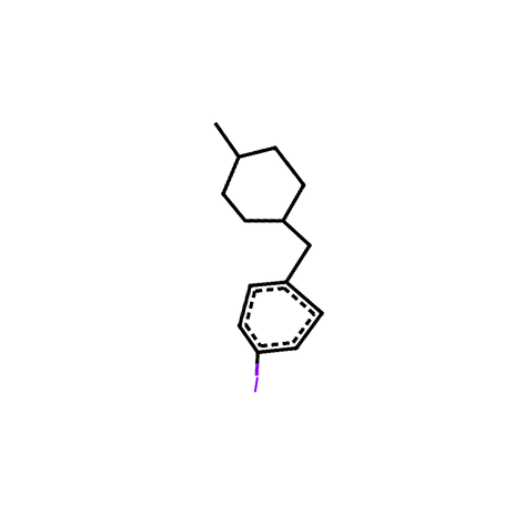 CC1CCC(Cc2ccc(I)cc2)CC1